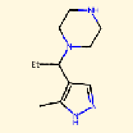 CCC(c1cn[nH]c1C)N1CCNCC1